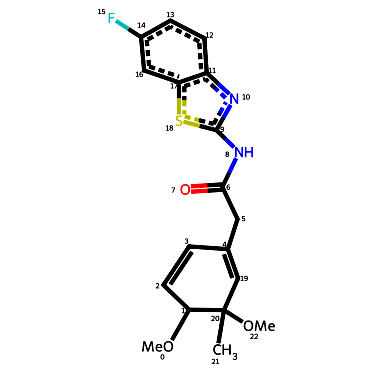 COC1C=CC(CC(=O)Nc2nc3ccc(F)cc3s2)=CC1(C)OC